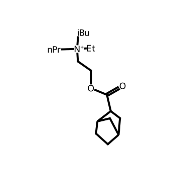 CCC[N+](CC)(CCOC(=O)C1CC2CCC1C2)C(C)CC